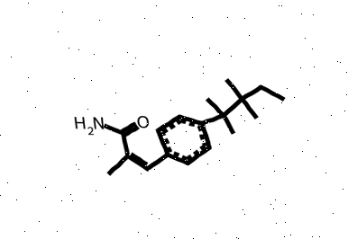 CCC(C)(C)C(C)(C)c1ccc(C=C(C)C(N)=O)cc1